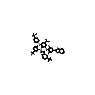 Cc1cc(-c2cc3ccccc3s2)cc(C)c1N1c2cc(C(C)C)cc3c2B(c2cc(C(C)(C)C)ccc2N3c2ccc(C(C)(C)C)cc2)c2sc3ccc(C(C)(C)C)cc3c21